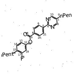 CCCCCc1cnc(-c2ccc(C(=O)Oc3ccc(CCCCC)c(F)c3)cc2)nc1